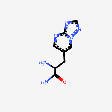 NC(=O)C(N)Cc1cnc2ncnn2c1